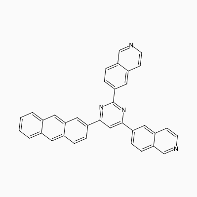 c1ccc2cc3cc(-c4cc(-c5ccc6cnccc6c5)nc(-c5ccc6cnccc6c5)n4)ccc3cc2c1